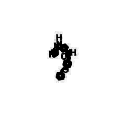 O=C(Cc1ccc(OCc2ccccc2)cc1)Nc1ccc2[nH]nc(-n3ccnc3)c2c1